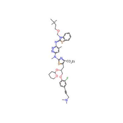 CCOC(=O)c1nc(N(C)c2cc(C)c(/N=c3\sc4ccccc4n3COCC[Si](C)(C)C)nn2)sc1CC(COc1ccc(C#CCN(C)C)cc1F)OC1CCCCO1